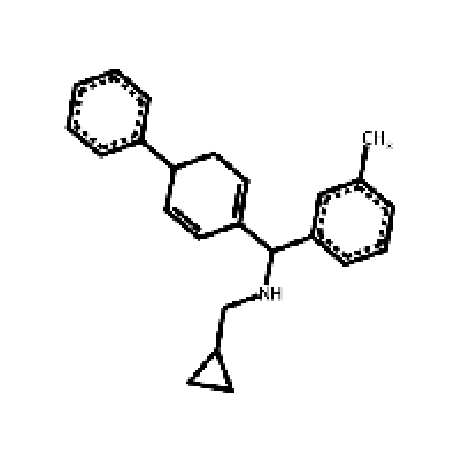 Cc1cccc(C(NCC2CC2)C2=CCC(c3ccccc3)C=C2)c1